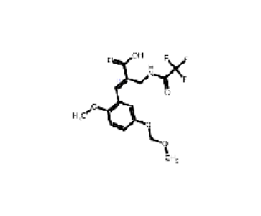 COCOc1ccc(OC)c(/C=C(\CNC(=O)C(F)(F)F)C(=O)O)c1